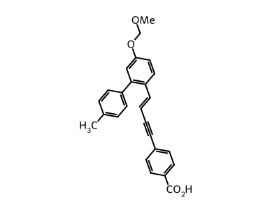 COCOc1ccc(C=CC#Cc2ccc(C(=O)O)cc2)c(-c2ccc(C)cc2)c1